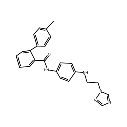 Cc1ccc(-c2ccccc2C(=O)Nc2ccc(NCCn3cncn3)cc2)cc1